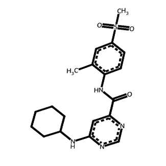 Cc1cc(S(C)(=O)=O)ccc1NC(=O)c1cc(NC2CCCCC2)ncn1